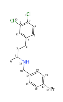 CC(CCc1ccc(Cl)c(Cl)c1)NCc1ccc(C(C)C)cc1